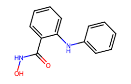 O=C(NO)c1ccccc1Nc1ccccc1